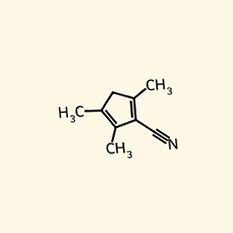 CC1=C(C)C(C#N)=C(C)C1